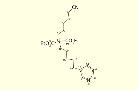 CCOC(=O)C(CCCCCC#N)(CCCCCc1cccnc1)C(=O)OCC